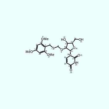 COc1cc(OC)c(CSCOC2C(O)[C@@H](CO)O[C@H]2n2ccc(=O)[nH]c2=O)c(OC)c1